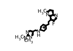 Cc1ccc2ncc(F)c(CCC34CCC(NCc5cnc(N(C)C)nc5)(CC3)CO4)c2n1